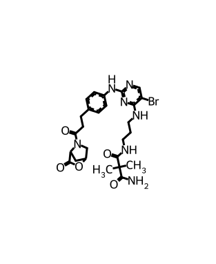 CC(C)(C(N)=O)C(=O)NCCCNc1nc(Nc2ccc(CCC(=O)N3CC4CC3C(=O)O4)cc2)ncc1Br